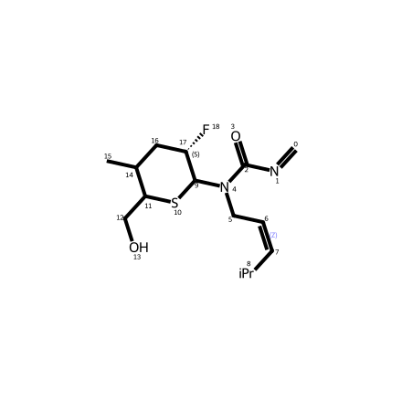 C=NC(=O)N(C/C=C\C(C)C)C1SC(CO)C(C)C[C@@H]1F